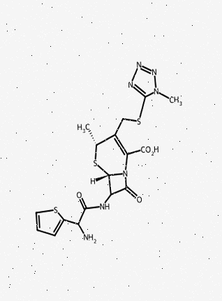 C[C@H]1S[C@H]2C(NC(=O)C(N)c3cccs3)C(=O)N2C(C(=O)O)=C1CSc1nnnn1C